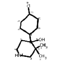 CC1(C)CNCCC1(O)C1CCC(Cl)CC1